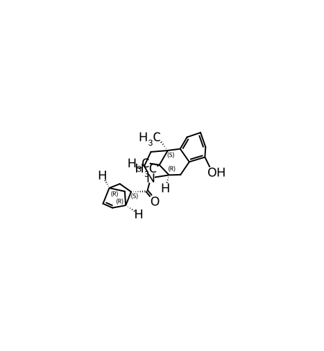 CC1(C)[C@H]2Cc3c(O)cccc3[C@]1(C)CCN2C(=O)[C@H]1C[C@@H]2C=C[C@H]1C2